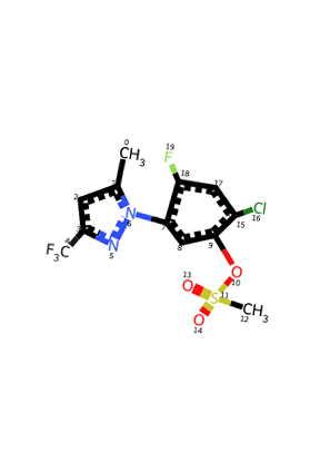 Cc1cc(C(F)(F)F)nn1-c1cc(OS(C)(=O)=O)c(Cl)cc1F